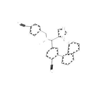 Cn1cncc1C(c1ccc(C#N)c(-c2cccc3ccccc23)c1)[S+]([O-])Cc1ccc(C#N)cc1